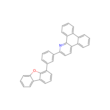 c1cc(-c2ccc3c4ccccc4c4ccccc4c3n2)cc(-c2cccc3c2oc2ccccc23)c1